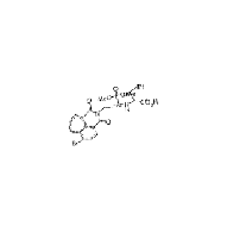 COP(=O)(OC)[C@@H](CCN1C(=O)c2cccc3c(Br)ccc(c23)C1=O)NC(CC(C)C)C(=O)O